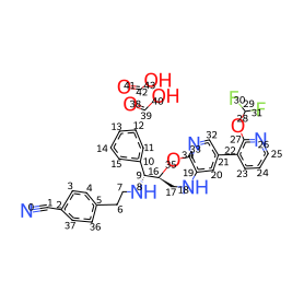 N#Cc1ccc(CCN[C@H](c2ccccc2)[C@@H]2CNc3cc(-c4cccnc4OC(F)F)cnc3O2)cc1.O=CO.O=CO